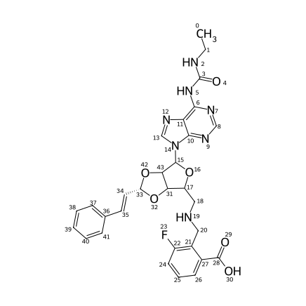 CCNC(=O)Nc1ncnc2c1ncn2C1OC(CNCc2c(F)cccc2C(=O)O)C2O[C@H](/C=C/c3ccccc3)OC21